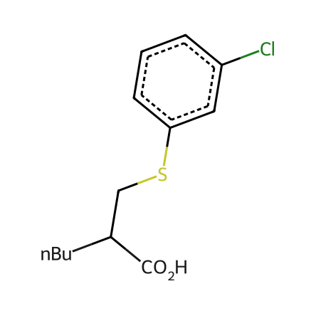 CCCCC(CSc1cccc(Cl)c1)C(=O)O